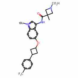 CC1(C(=O)Nc2cn(C(C)(C)C)c3ccc(OC4CC(c5ccc(C(F)(F)F)cc5)C4)cc23)CN(C(=O)O)C1